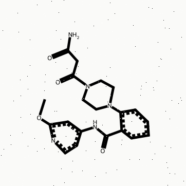 COc1cc(NC(=O)c2ccccc2N2CCN(C(=O)CC(N)=O)CC2)ccn1